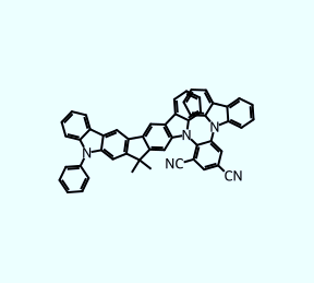 CC1(C)c2cc3c(cc2-c2cc4c5ccccc5n(-c5c(C#N)cc(C#N)cc5-n5c6ccccc6c6ccccc65)c4cc21)c1ccccc1n3-c1ccccc1